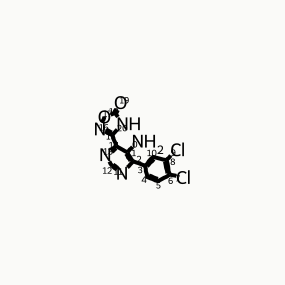 Nc1c(-c2ccc(Cl)c(Cl)c2)ncnc1-c1noc(=O)[nH]1